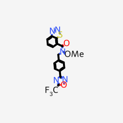 CON(Cc1ccc(-c2noc(C(F)(F)F)n2)cc1)C(=O)c1cccc2nnsc12